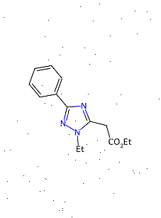 CCOC(=O)Cc1nc(-c2ccccc2)nn1CC